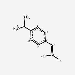 CC(C)c1cnc(C=C(F)F)cn1